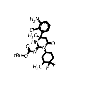 CC1CC(N2C(=O)C[C@@](C)(c3cccc(N)c3Cl)N/C2=N\C(=O)OC(C)(C)C)CCC1(F)F